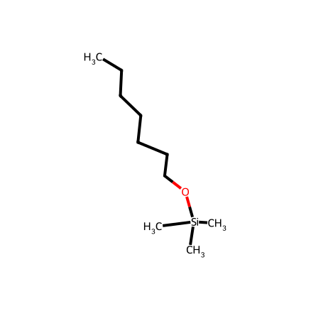 CCCCCCCO[Si](C)(C)C